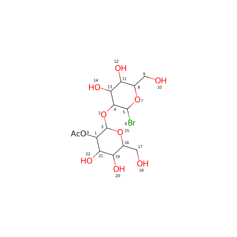 CC(=O)OC1C(OC2C(Br)OC(CO)C(O)C2O)OC(CO)C(O)C1O